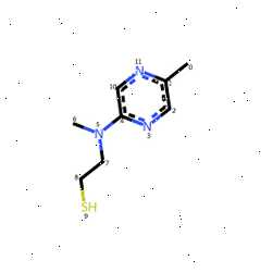 Cc1cnc(N(C)CCS)cn1